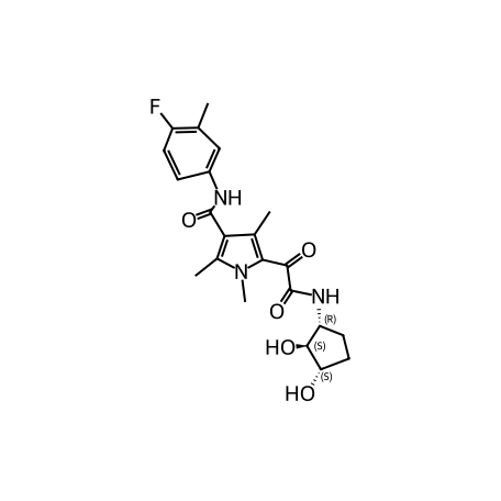 Cc1cc(NC(=O)c2c(C)c(C(=O)C(=O)N[C@@H]3CC[C@H](O)[C@H]3O)n(C)c2C)ccc1F